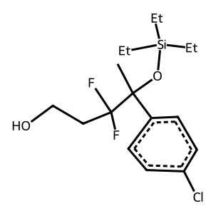 CC[Si](CC)(CC)OC(C)(c1ccc(Cl)cc1)C(F)(F)CCO